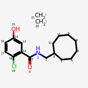 O=C(NC[C]1CCCCCCC1)c1cc(O)ccc1Cl.[CH2].[CH2]